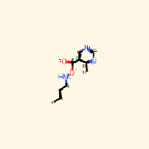 CCCCNOC(=O)c1cncnc1C